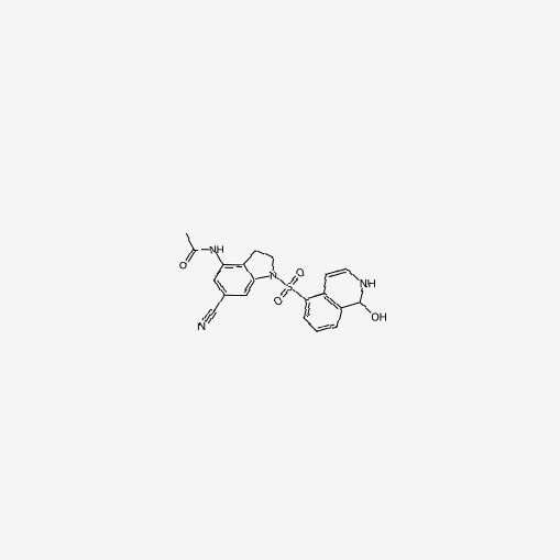 CC(=O)Nc1cc(C#N)cc2c1CCN2S(=O)(=O)c1cccc2c1C=CNC2O